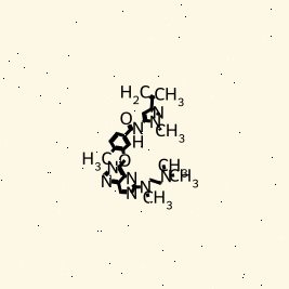 C=C(C)c1cc(NC(=O)c2ccc(C)c(Oc3ncnc4cnc(N(C)CCN(C)C)nc34)c2)n(C)n1